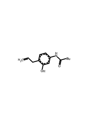 C=CCc1ccc(NC(=O)C(C)CC)cc1O